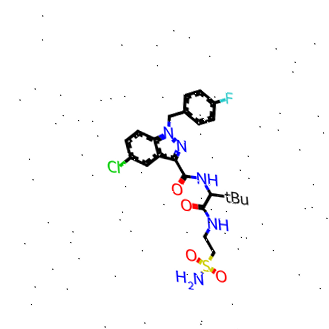 CC(C)(C)C(NC(=O)c1nn(Cc2ccc(F)cc2)c2ccc(Cl)cc12)C(=O)NCCS(N)(=O)=O